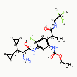 CCOC(=O)Nc1cc(NC(=O)[C@@H](N)C(C2CC2)C2CC2)c(F)cc1C(C)C(=O)NCC(F)(F)F